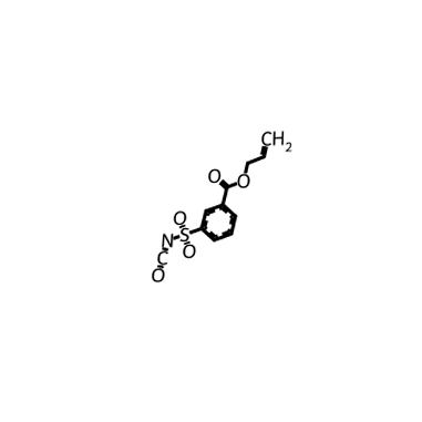 C=CCOC(=O)c1cccc(S(=O)(=O)N=C=O)c1